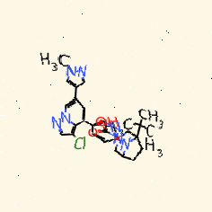 Cn1cc(-c2cc(-c3ccc(N4C5CCC4(C(C)(C)C)CN(C(=O)O)C5)nc3)c3c(Cl)cnn3c2)cn1